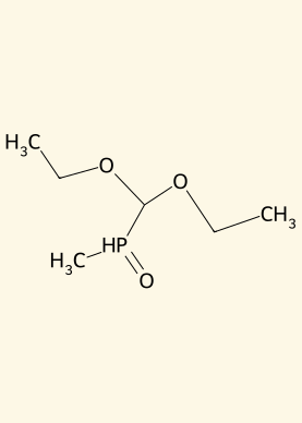 CCOC(OCC)[PH](C)=O